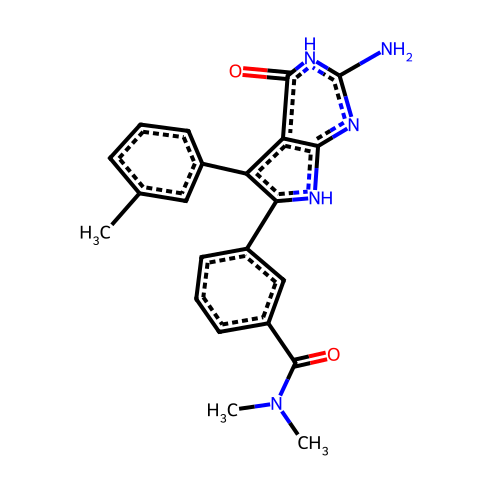 Cc1cccc(-c2c(-c3cccc(C(=O)N(C)C)c3)[nH]c3nc(N)[nH]c(=O)c23)c1